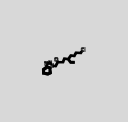 C=CC(CCCCCl)CCC(=O)Cn1nnc2ccccc21